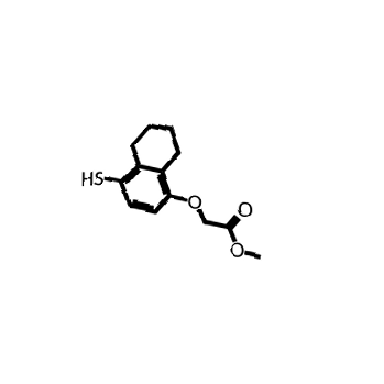 COC(=O)COc1ccc(S)c2c1CCCC2